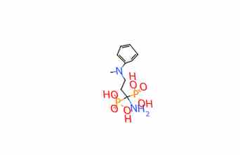 CN(CCC(N)(P(=O)(O)O)P(=O)(O)O)c1ccccc1